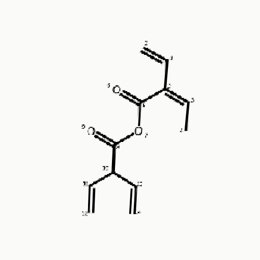 C=CC(=CC)C(=O)OC(=O)C(C=C)C=C